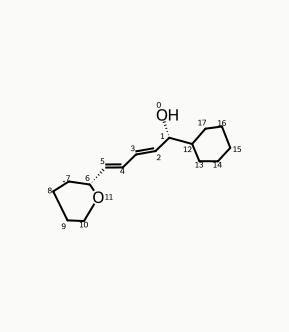 O[C@@H](/C=C/C=C/[C@H]1[CH]CCCO1)C1CCCCC1